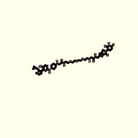 Cn1ncc(-c2nc(N[C@H]3CC[C@H](NCC(=O)NCCOCCOCCOCCNCC(=O)NCc4cc5c(s4)C(=O)N(C4CCC(=O)NC4=O)C5)CC3)ncc2Cl)c1CC1CC1